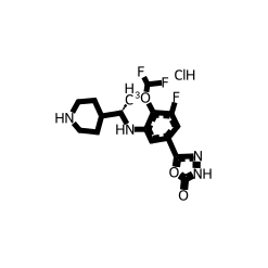 C[C@H](Nc1cc(-c2n[nH]c(=O)o2)cc(F)c1OC(F)F)C1CCNCC1.Cl